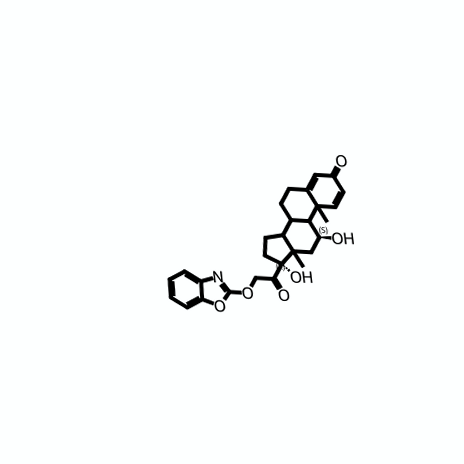 CC12C=CC(=O)C=C1CCC1C2[C@@H](O)CC2(C)C1CC[C@]2(O)C(=O)COc1nc2ccccc2o1